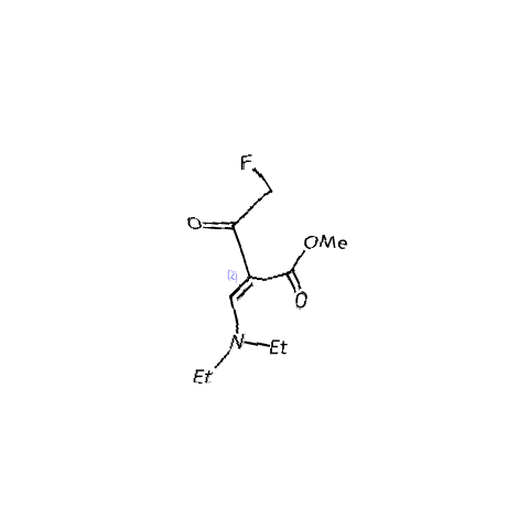 CCN(/C=C(/C(=O)CF)C(=O)OC)CC